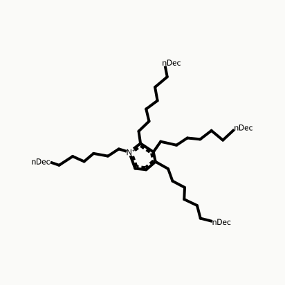 CCCCCCCCCCCCCCCCc1cc[n+](CCCCCCCCCCCCCCCC)c(CCCCCCCCCCCCCCCC)c1CCCCCCCCCCCCCCCC